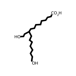 O=C(O)CCCCCCCCC(CCO)CCCCCCCCO